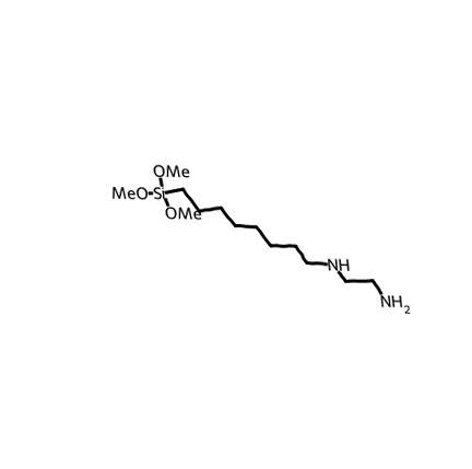 CO[Si](CCCCCCCCNCCN)(OC)OC